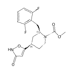 COC(=O)N1CC[C@@H](c2cc(=O)[nH]o2)C[C@H]1Cc1c(F)cccc1F